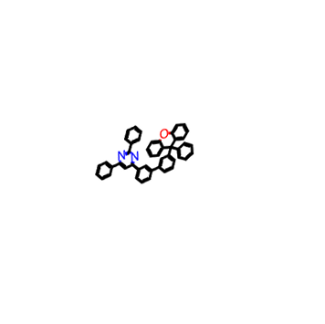 c1ccc(-c2cc(-c3cccc(-c4cccc(C5(c6ccccc6)c6ccccc6Oc6ccccc65)c4)c3)nc(-c3ccccc3)n2)cc1